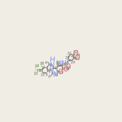 Cc1nc(N[C@H](C)c2cccc(C(F)F)c2F)c2c(C)c(NC(=O)c3ccc4c(c3)OCO4)c(=O)oc2n1